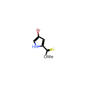 COC(=S)c1cc(Br)c[nH]1